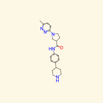 Cc1ccc(N2CCC(C(=O)Nc3ccc(C4CCNCC4)cc3)C2)nn1